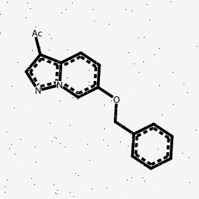 CC(=O)c1cnn2cc(OCc3ccccc3)ccc12